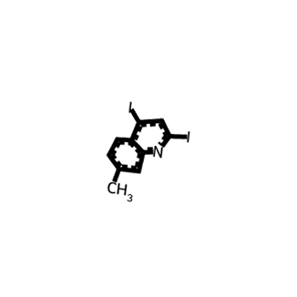 Cc1ccc2c(I)cc(I)nc2c1